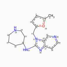 Cc1ccc(Cn2c(NC3CCCNCC3)nc3ccncc32)o1